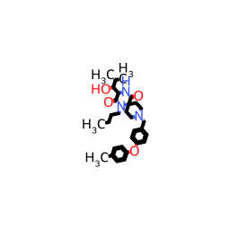 CCCCN1C(=O)C(C(O)C(C)C)NC(=O)C12CCN(Cc1ccc(Oc3ccc(C)cc3)cc1)CC2